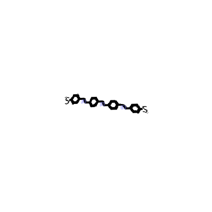 CSc1ccc(/C=C/c2ccc(/C=C/c3ccc(/C=C/c4ccc(SC)cc4)cc3)cc2)cc1